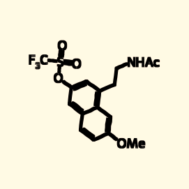 COc1ccc2cc(OS(=O)(=O)C(F)(F)F)cc(CCNC(C)=O)c2c1